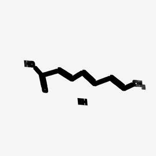 C/C=C/C=C/C=C/C(=O)O.[KH]